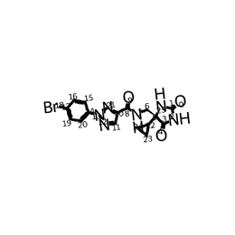 O=C1NC(=O)[C@](CNC(=O)c2cnn(-c3ccc(Br)cc3)n2)(C2CC2)N1